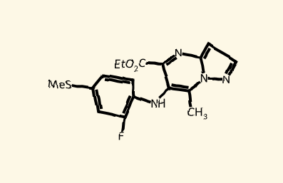 CCOC(=O)c1nc2ccnn2c(C)c1Nc1ccc(SC)cc1F